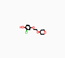 Oc1ccc(OCCOC2CCOCC2)cc1Cl